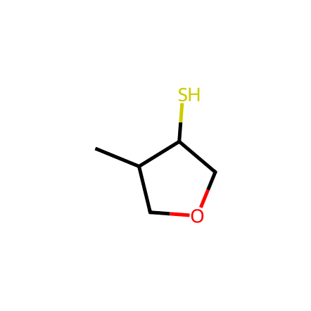 CC1COCC1S